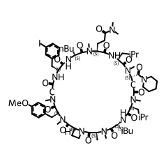 CCCC[C@@H]1NC(=O)[C@H](Cc2cccc(I)c2)NC(=O)CN(C)C(=O)[C@H](Cc2ccc(OC)cc2)N(C)C(=O)[C@@H]2CCN2C(=O)[C@H](C)N(C)C(=O)[C@H]([C@@H](C)CC)NC(=O)[C@H](CC(C)C)N(C)C(=O)C[C@@H](C(=O)N2CCCCC2)N(C)C(=O)[C@H](CC(C)C)NC(=O)[C@H](CCC(=O)N(C)C)N(C)C1=O